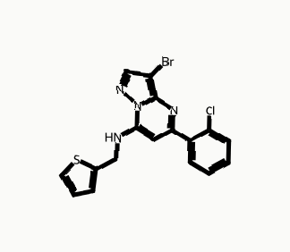 Clc1ccccc1-c1cc(NCc2cccs2)n2ncc(Br)c2n1